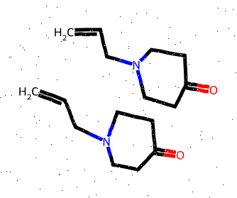 C=CCN1CCC(=O)CC1.C=CCN1CCC(=O)CC1